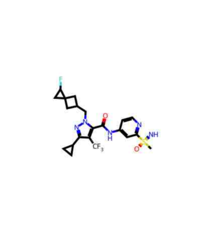 CS(=N)(=O)c1cc(NC(=O)c2c(C(F)(F)F)c(C3CC3)nn2CC2CC3(C2)CC3F)ccn1